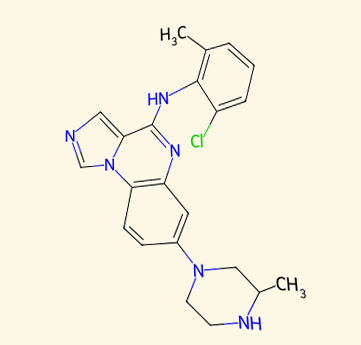 Cc1cccc(Cl)c1Nc1nc2cc(N3CCNC(C)C3)ccc2n2cncc12